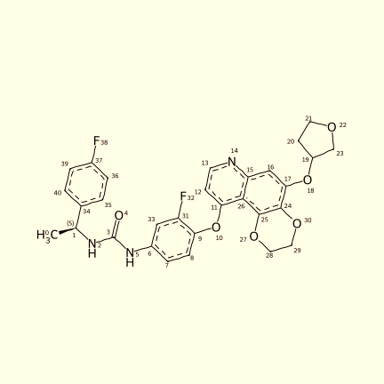 C[C@H](NC(=O)Nc1ccc(Oc2ccnc3cc(OC4CCOC4)c4c(c23)OCCO4)c(F)c1)c1ccc(F)cc1